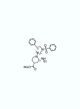 CCN[C@@H]1CC(C(=O)OC)CCN1CC[C@@H](CN(C)S(=O)(=O)c1ccccc1)c1ccccc1